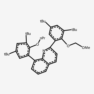 CCCOc1c(-c2cccc3ccc(-c4cc(C(C)(C)C)cc(C(C)(C)C)c4OCOC)nc23)cc(C(C)(C)C)cc1C(C)(C)C